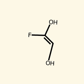 OC=C(O)F